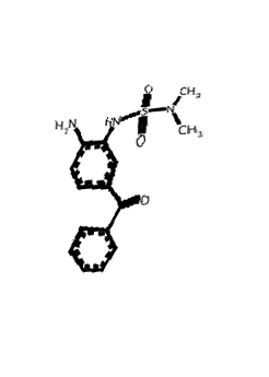 CN(C)S(=O)(=O)Nc1cc(C(=O)c2ccccc2)ccc1N